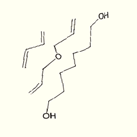 C=CC=C.C=CCOCC=C.OCCCCCCCO